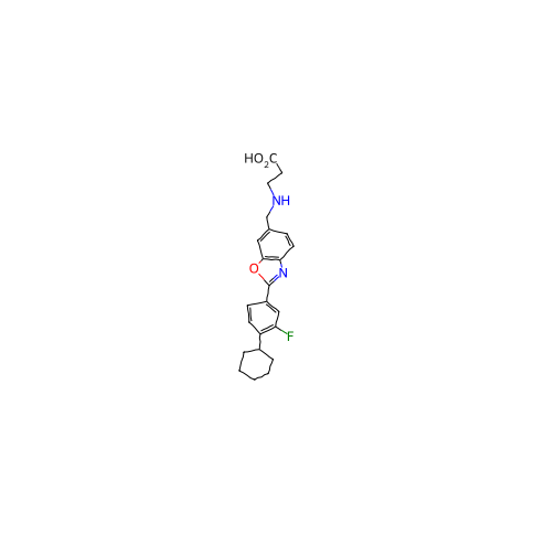 O=C(O)CCNCc1ccc2nc(-c3ccc(C4CCCCC4)c(F)c3)oc2c1